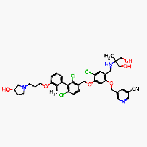 Cc1c(OCCCN2CC[C@@H](O)C2)cccc1-c1c(Cl)ccc(COc2cc(OCc3cncc(C#N)c3)c(CNC(C)(CO)CO)cc2Cl)c1Cl